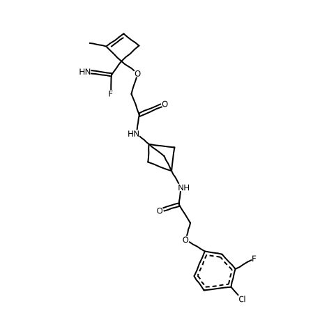 CC1=CCC1(OCC(=O)NC12CC(NC(=O)COc3ccc(Cl)c(F)c3)(C1)C2)C(=N)F